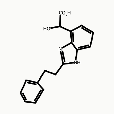 O=C(O)C(O)c1cccc2[nH]c(CCc3ccccc3)nc12